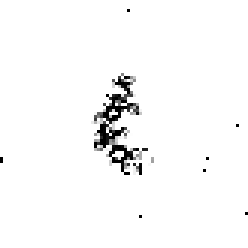 CC1(C)C(=O)N(c2ccc(C#N)c(C(F)(F)F)c2)C(=S)N1c1cc2c(cc1F)CN(CC1CCC1)C2=O